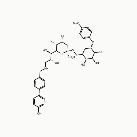 COc1ccc(O[C@@H]2OC(CO[C@]3(C(=O)O)C[C@@H](O)[C@@H](C)C([C@H](O)[C@H](O)CNCc4ccc(-c5ccc(O)cc5)cc4)O3)[C@H](O)[C@H](O)C2O)cc1